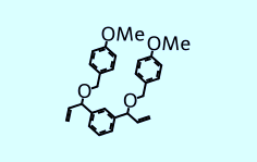 C=CC(OCc1ccc(OC)cc1)c1cccc(C(C=C)OCc2ccc(OC)cc2)c1